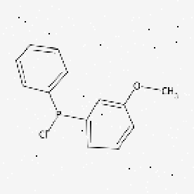 COc1cccc(P(Cl)c2ccccc2)c1